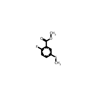 COC(=O)c1cc(SC)ccc1F